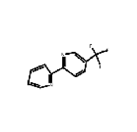 FC(F)(F)c1ccc(-c2[c]cccn2)nc1